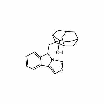 OC1(CC2c3ccccc3-c3cncn32)CC2CC3CC(C2)CC1C3